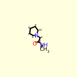 CNC(=O)CN1CCCCC1